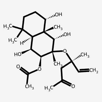 C=C[C@@](C)(CC(C)=O)O[C@@]1(C)[C@@H](O)[C@@]2(C)[C@@H](O)CCC(C)(C)[C@@H]2[C@H](O)[C@@H]1OC(C)=O